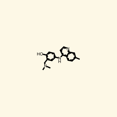 Cc1ccc2c(Nc3ccc(O)c(CN(C)C)c3)ccnc2c1